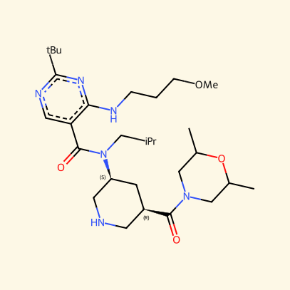 COCCCNc1nc(C(C)(C)C)ncc1C(=O)N(CC(C)C)[C@@H]1CNC[C@H](C(=O)N2CC(C)OC(C)C2)C1